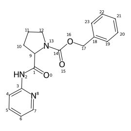 O=C(Nc1ccccn1)C1CCCN1C(=O)OCc1ccccc1